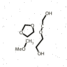 C1COCO1.COC.OCCOCCO